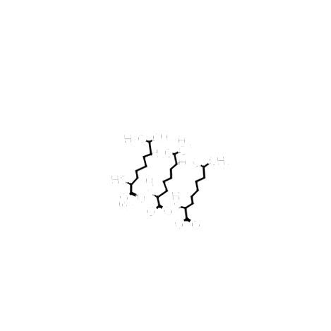 CC(C)CCCCCC(S)C(=O)[O-].CC(C)CCCCCC(S)C(=O)[O-].CC(C)CCCCCC(S)C(=O)[O-].[In+3]